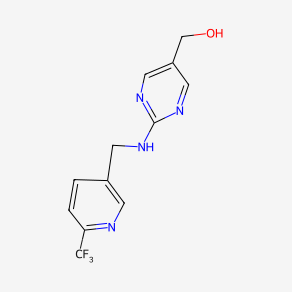 OCc1cnc(NCc2ccc(C(F)(F)F)nc2)nc1